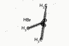 Br.CCCCCCCCCCCCCCCCCC(=O)OCC(COC(=O)CCCCCCCCCCCCCCCCC)OC(=O)CCCCCCCCCCCCCCCCC